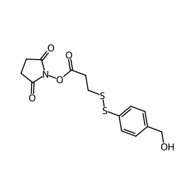 O=C(CCSSc1ccc(CO)cc1)ON1C(=O)CCC1=O